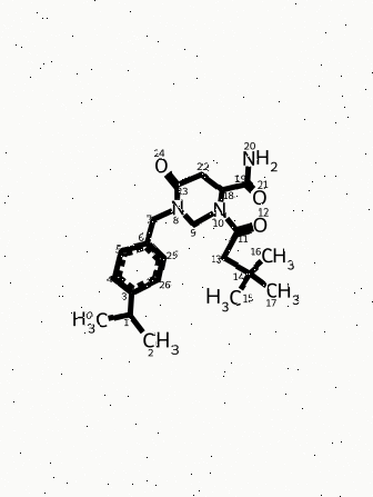 CC(C)c1ccc(CN2CN(C(=O)CC(C)(C)C)C(C(N)=O)CC2=O)cc1